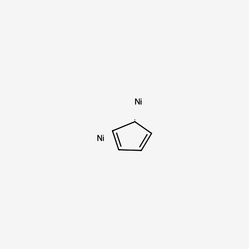 [CH]1C=CC=C1.[Ni].[Ni]